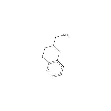 NCC1CSc2ccccc2S1